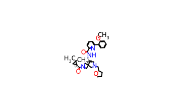 COc1ccccc1-c1cccc(C(=O)NC[C@@H]2CN(CC3CCCO3)CC23CN(C(=O)[C@H]2CC2(C)C)C3)n1